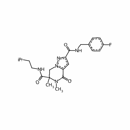 CC(C)CCNC(=O)C1(C)Cn2nc(C(=O)NCc3ccc(F)cc3)cc2C(=O)N1C